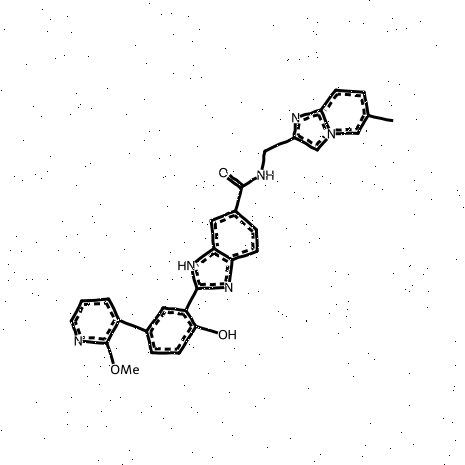 COc1ncccc1-c1ccc(O)c(-c2nc3ccc(C(=O)NCc4cn5cc(C)ccc5n4)cc3[nH]2)c1